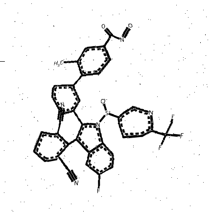 Cc1cc(C(=O)N=O)ccc1-c1cccc(-c2c(-c3c(C#N)cccc3C#N)c3cc(F)ccc3n2[S+]([O-])c2ccc(C(F)(F)F)nc2)c1